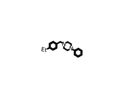 [CH2]Cc1ccc(CN2CCN(c3ccccc3)CC2)cc1